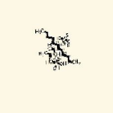 CCC.CCC.CCCCCCCCCCCC.OP(O)(O)=S.OP(O)(O)=S